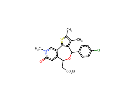 CCOC(=O)CC1OC(c2ccc(Cl)cc2)c2c(sc(C)c2C)-c2cn(C)c(=O)cc21